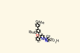 COc1ccc(-c2ccc(COc3ccccc3-c3cccc(-n4ncc(C(=O)O)c4C(F)(F)F)n3)c(OCC(C)C)c2)cc1